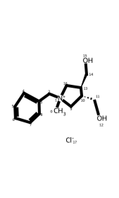 C[N+]1(Cc2ccccc2)C[C@@H](CO)[C@H](CO)C1.[Cl-]